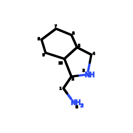 NCC1NCC2CCCCC21